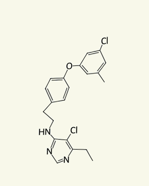 CCc1ncnc(NCCc2ccc(Oc3cc(C)cc(Cl)c3)cc2)c1Cl